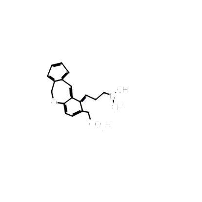 CN(C)CC/C=c1\c(CC(=O)O)ccc2c1=Cc1ccccc1CO2